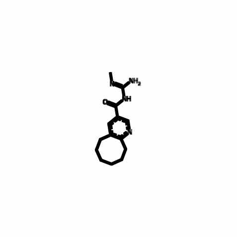 CN=C(N)NC(=O)c1cnc2c(c1)CCCCCC2